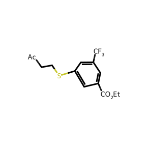 CCOC(=O)c1cc(SCCC(C)=O)cc(C(F)(F)F)c1